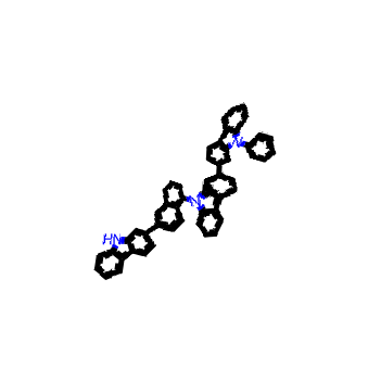 c1ccc(-n2c3ccccc3c3ccc(-c4ccc5c6ccccc6n(-c6cccc7cc(-c8ccc9c(c8)[nH]c8ccccc89)ccc67)c5c4)cc32)cc1